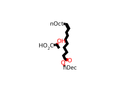 CC(O)C(=O)O.CCCCCCCC/C=C\CCCCCCCC(=O)OCCCCCCCCCC